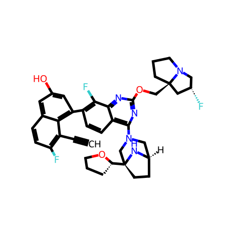 C#Cc1c(F)ccc2cc(O)cc(-c3ccc4c(N5C[C@H]6CC[C@@]([C@@H]7CCCO7)(C5)N6)nc(OC[C@@]56CCCN5C[C@H](F)C6)nc4c3F)c12